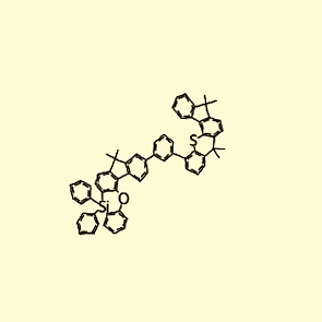 CC1(C)c2cccc(-c3cccc(-c4ccc5c(c4)C(C)(C)c4ccc6c(c4-5)Oc4ccccc4[Si]6(c4ccccc4)c4ccccc4)c3)c2Sc2c1ccc1c2-c2ccccc2C1(C)C